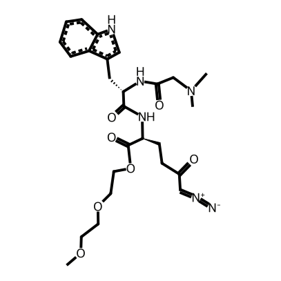 COCCOCCOC(=O)[C@H](CCC(=O)C=[N+]=[N-])NC(=O)[C@H](Cc1c[nH]c2ccccc12)NC(=O)CN(C)C